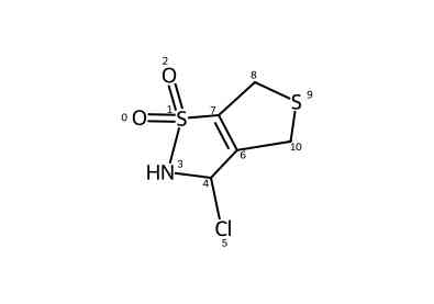 O=S1(=O)NC(Cl)C2=C1CSC2